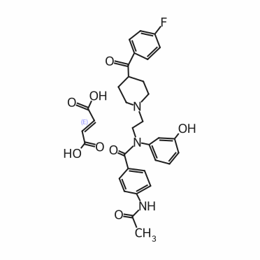 CC(=O)Nc1ccc(C(=O)N(CCN2CCC(C(=O)c3ccc(F)cc3)CC2)c2cccc(O)c2)cc1.O=C(O)/C=C/C(=O)O